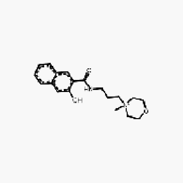 C[N+]1(CCCNC(=O)c2cc3ccccc3cc2O)CCOCC1